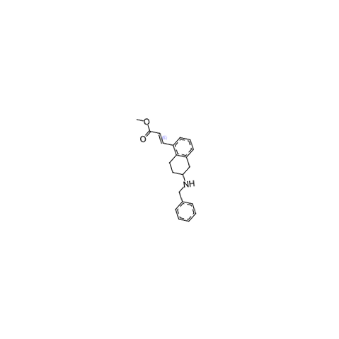 COC(=O)/C=C/c1cccc2c1CCC(NCc1ccccc1)C2